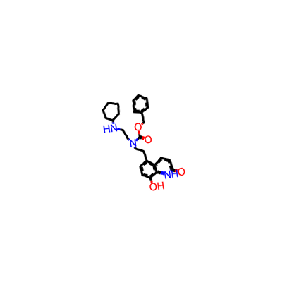 O=C(OCc1ccccc1)N(CCNC1CCCCC1)CCc1ccc(O)c2[nH]c(=O)ccc12